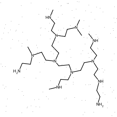 CNCCN(CCNCCN)CCN(CCNC)CCN(CCN(C)CCN)CCN(CCNC)CCN(C)C